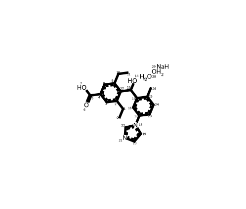 CCc1cc(C(=O)O)cc(CC)c1C(O)c1cc(-n2ccnc2)ccc1C.O.O.[NaH]